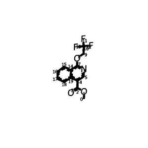 COC(=O)c1cnc(OCC(F)(F)F)c2ccccc12